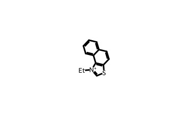 CC[n+]1csc2ccc3ccccc3c21